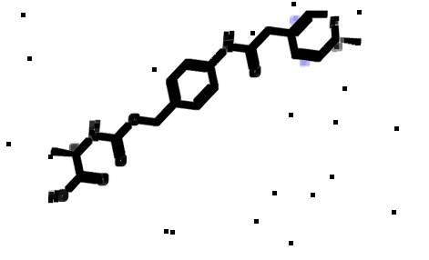 C/C=C(\C=C/[C@@H](C)F)CC(=O)Nc1ccc(COC(=O)N[C@H](C)C(=O)O)cc1